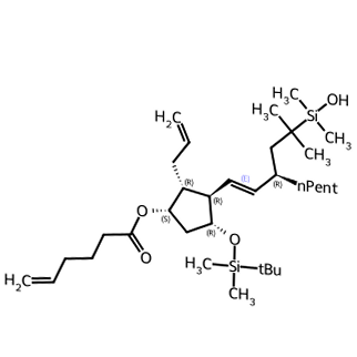 C=CCCCC(=O)O[C@H]1C[C@@H](O[Si](C)(C)C(C)(C)C)[C@H](/C=C/[C@H](CCCCC)CC(C)(C)[Si](C)(C)O)[C@H]1CC=C